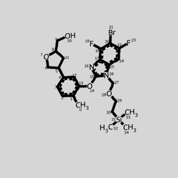 Cc1ccc(C2COC(CO)C2)cc1Oc1nc2c(F)c(Br)c(F)cc2n1COCC[Si](C)(C)C